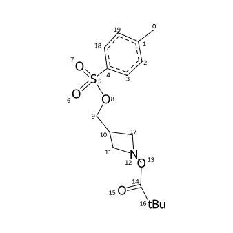 Cc1ccc(S(=O)(=O)OCC2CN(OC(=O)C(C)(C)C)C2)cc1